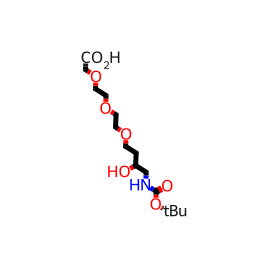 CC(C)(C)OC(=O)NCC(O)CCOCCOCCOCC(=O)O